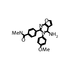 CNC(=O)c1ccc(C2=Nc3occc3C(N)N2c2ccc(OC)cc2)cc1